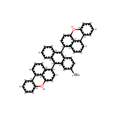 CC(C)(C)c1ccc2c(-c3ccc4c5c(cccc35)-c3ccccc3O4)c3ccccc3c(-c3ccc4c5c(cccc35)-c3ccccc3O4)c2c1